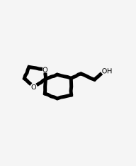 OCCC1CCCC2(C1)OCCO2